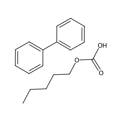 CCCCCOC(=O)O.c1ccc(-c2ccccc2)cc1